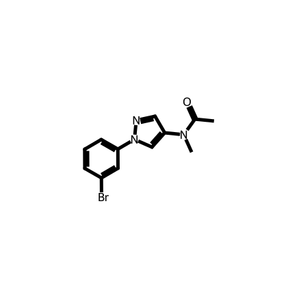 CC(=O)N(C)c1cnn(-c2cccc(Br)c2)c1